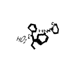 C=CC(=C(C(=O)O)c1ccccc1)c1cccc(NN2CCCCS2)c1